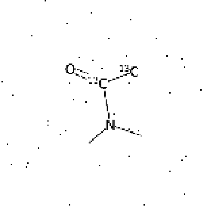 CN(C)[13C]([13CH3])=O